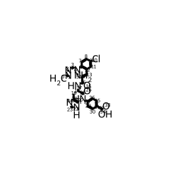 C=N/N=C\N(N)c1ccc(Cl)cc1/C=C/C(=O)N[C@@H](Cc1c[nH]cn1)C(=O)Nc1ccc(C(=O)O)cc1